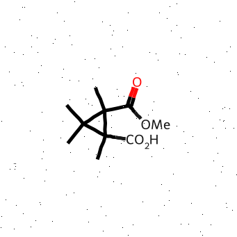 COC(=O)C1(C)C(C)(C)C1(C)C(=O)O